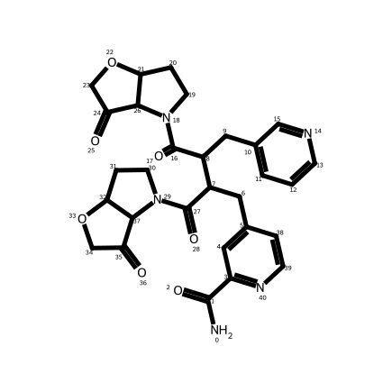 NC(=O)c1cc(CC([C](Cc2cccnc2)C(=O)N2CCC3OCC(=O)C32)C(=O)N2CCC3OCC(=O)C32)ccn1